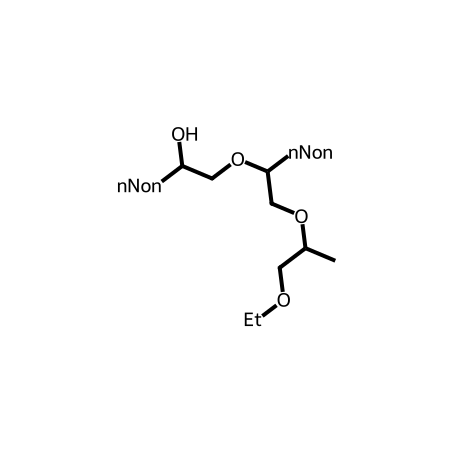 CCCCCCCCCC(O)COC(CCCCCCCCC)COC(C)COCC